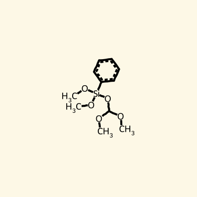 COC(OC)O[Si](OC)(OC)c1ccccc1